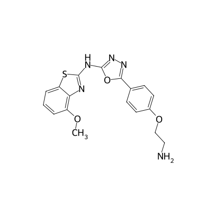 COc1cccc2sc(Nc3nnc(-c4ccc(OCCN)cc4)o3)nc12